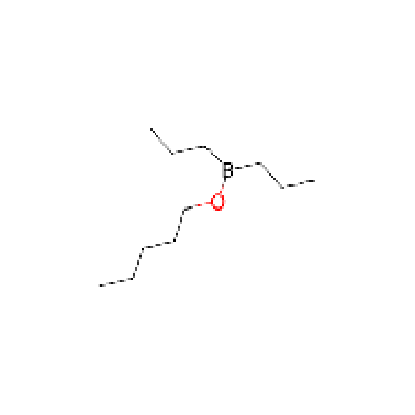 CCCCCOB(CCC)CCC